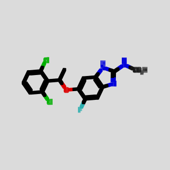 CC(Oc1cc2[nH]c(NC(=O)O)nc2cc1F)c1c(Cl)cccc1Cl